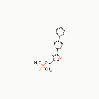 CP(C)(=O)OCc1coc(-c2ccc(-c3ccccc3)cc2)n1